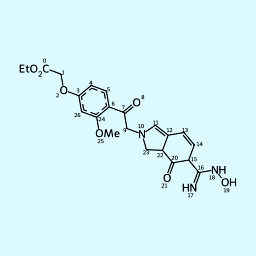 CCOC(=O)COc1ccc(C(=O)CN2C=C3C=CC(C(=N)NO)C(=O)C3C2)c(OC)c1